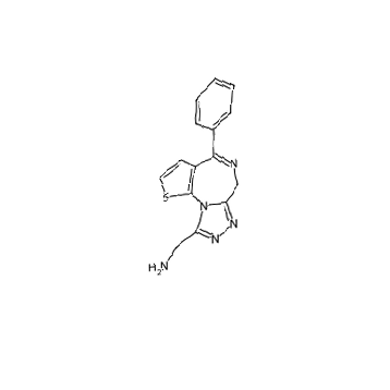 NCc1nnc2n1-c1sccc1C(c1ccccc1)=NC2